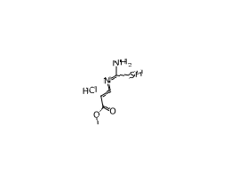 COC(=O)C=C/N=C(/N)S.Cl